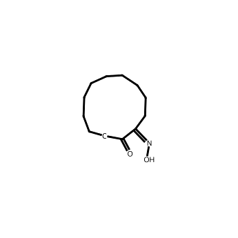 O=C1CCCCCCCCCCC1=NO